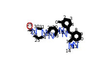 Cc1cccc2c(-c3cccc4nn(C)cc34)nn(-c3ccc(N4CCCN(C=O)CC4)nc3)c12